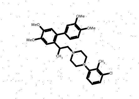 COc1ccc(-c2cc(OC)c(OC)cc2C(C)CN2CCN(c3cccc(Cl)c3C)CC2)cc1OC